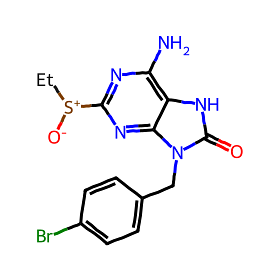 CC[S+]([O-])c1nc(N)c2[nH]c(=O)n(Cc3ccc(Br)cc3)c2n1